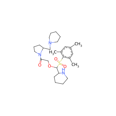 Cc1cc(C)c(S(=O)(=O)C(OCC(=O)N2CCCC2CN2CCCCC2)C2CCCCN2)c(C)c1